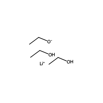 CCO.CCO.CC[O-].[Li+]